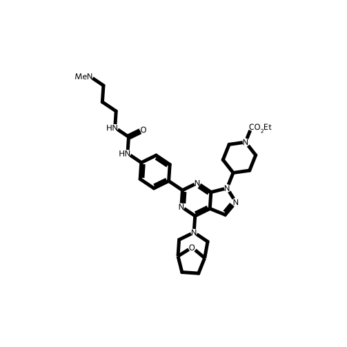 CCOC(=O)N1CCC(n2ncc3c(N4CC5CCC(C4)O5)nc(-c4ccc(NC(=O)NCCCNC)cc4)nc32)CC1